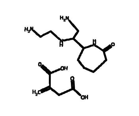 C=C(CC(=O)O)C(=O)O.NCCNC(CN)C1CCCCC(=O)N1